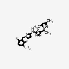 Cc1cc(C)n(C(C)c2nnc(Nc3ccn(Cc4c(F)ccc(C)c4F)n3)s2)n1